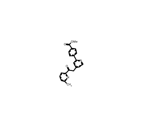 COC(=O)c1ccc(-c2cc(CC(=O)c3cccc(C)n3)ccn2)cc1